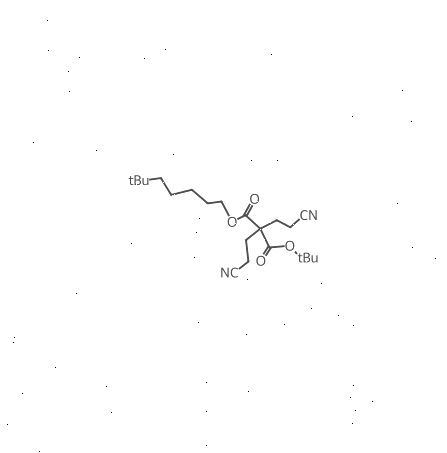 CC(C)(C)CCCCCOC(=O)C(CCC#N)(CCC#N)C(=O)OC(C)(C)C